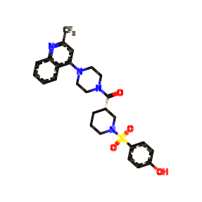 O=C([C@H]1CCCN(S(=O)(=O)c2ccc(O)cc2)C1)N1CCN(c2cc(C(F)(F)F)nc3ccccc23)CC1